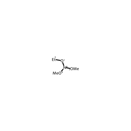 CCO[N+](OC)OC